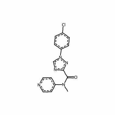 CN(C(=O)c1ncn(-c2ccc(Cl)cc2)n1)c1ccncc1